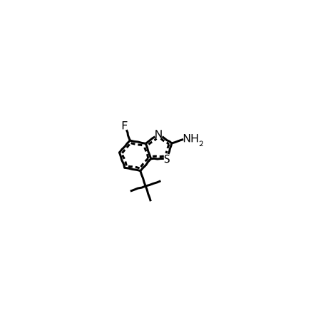 CC(C)(C)c1ccc(F)c2nc(N)sc12